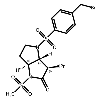 CC(C)[C@H]1C(=O)N(S(C)(=O)=O)[C@H]2CCN(S(=O)(=O)c3ccc(CBr)cc3)[C@H]12